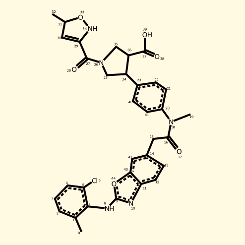 Cc1cccc(Cl)c1Nc1nc2ccc(CC(=O)N(C)c3ccc(C4CN(C(=O)C5=CC(C)ON5)CC4C(=O)O)cc3)cc2o1